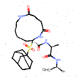 CC(C)[C@@H](C=O)NC(=O)[C@H](C)NC(=O)[C@]1(S(=O)(=O)C23CC4CC(CC(C4)C2)C3)CCCCNC(=O)CCC(=O)N1